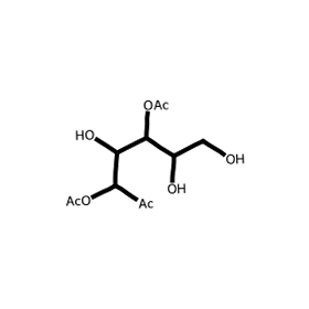 CC(=O)OC(C(C)=O)C(O)C(OC(C)=O)C(O)CO